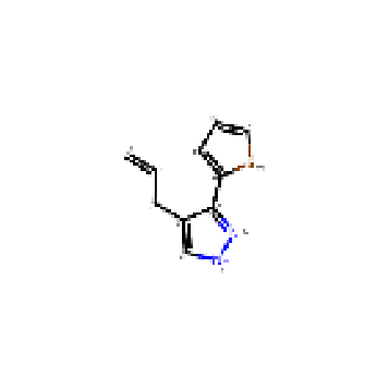 C=CCc1c[nH]nc1-c1cccs1